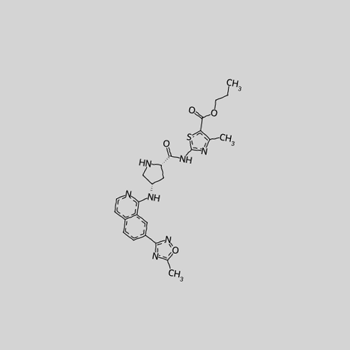 CCCOC(=O)c1sc(NC(=O)[C@@H]2C[C@H](Nc3nccc4ccc(-c5noc(C)n5)cc34)CN2)nc1C